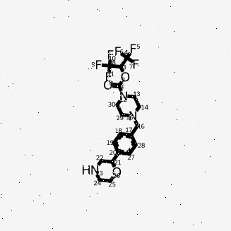 O=C(OC(C(F)(F)F)C(F)(F)F)N1CCN(Cc2ccc(C3CNCCO3)cc2)CC1